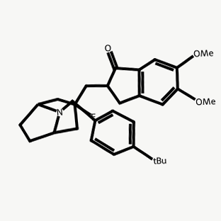 COc1cc2c(cc1OC)C(=O)C(CC1(F)CC3CCC(C1)N3Cc1ccc(C(C)(C)C)cc1)C2